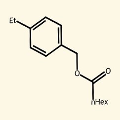 [CH2]CCCCCC(=O)OCc1ccc(CC)cc1